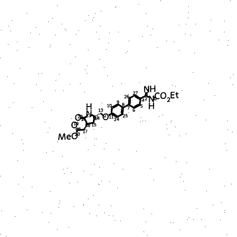 CCOC(=O)NC(=N)c1ccc(-c2ccc(OC[C@@H]3C[C@@H](CC(=O)OC)C(=O)N3)cc2)cc1